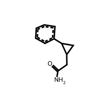 NC(=O)CC1CC1c1ccccc1